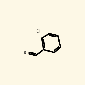 [C].[Ru]=[CH]c1ccccc1